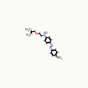 C=C(C)COCCN(CC)c1ccc(/N=N/c2ccc([N+](=O)[O-])cc2)cc1